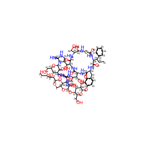 CCCCCC1OCC2OC(OC3C(CO)OC(Oc4ccc(CC5NC(=O)C(C(CC)c6ccccc6)NC(=O)CNC(=O)C(CO)NC(=O)C(C(O)C6CNC(=N)N6C6OC(CO)C(O)C(O)C6O)NC(=O)C(C(O)C6CNC(=N)N6)NC5=O)cc4)C(O)C3O)C(O)C(O)C2O1